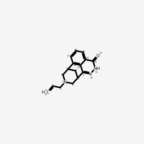 C=CCN1CC2CC(C1)c1n[nH]c(=O)c3cccc2c13